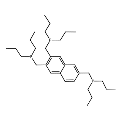 CCCP(CCC)Cc1ccc2cc(CP(CCC)CCC)c(CP(CCC)CCC)cc2c1